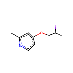 Cc1cc(OCC(C)I)ccn1